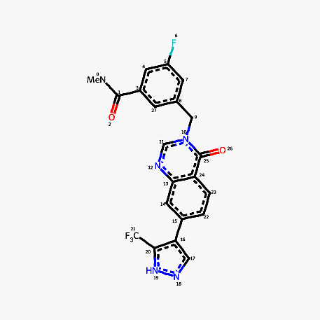 CNC(=O)c1cc(F)cc(Cn2cnc3cc(-c4cn[nH]c4C(F)(F)F)ccc3c2=O)c1